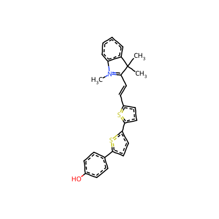 C[N+]1=C(/C=C/c2ccc(-c3ccc(-c4ccc(O)cc4)s3)s2)C(C)(C)c2ccccc21